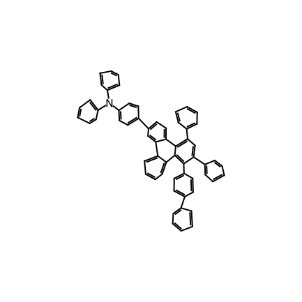 c1ccc(-c2ccc(-c3c(-c4ccccc4)cc(-c4ccccc4)c4c5ccc(-c6ccc(N(c7ccccc7)c7ccccc7)cc6)cc5c5ccccc5c34)cc2)cc1